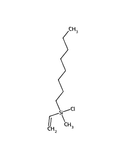 C=C[Si](C)(Cl)CCCCCCCC